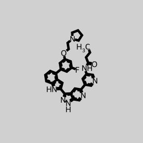 CCCC(=O)Nc1cncc(-c2cc3c(-c4cc5c(-c6cc(F)cc(OCCN7CCCC7)c6)cccc5[nH]4)n[nH]c3cn2)c1